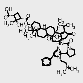 CC(C)C1=C2[C@H]3CC[C@@H]4[C@@]5(C)CC[C@H](OC(=O)[C@H]6C[C@@H](C(=O)O)C6(C)C)C(C)(C)[C@@H]5CC[C@@]4(C)[C@]3(C)CC[C@@]2(NC(=O)N2CCCC2c2ncc(-c3ccccc3)n2CCN(C)C)CC1=O